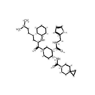 CN(C)CCCC[C@@H](NC1CCCCC1)C(=O)N1CC[C@@H](NC(=O)N2CCC3(CC2)CC3)[C@@H](C(=O)NCc2cccs2)C1